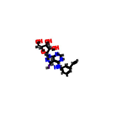 C#Cc1cccc(Nc2ncnc3c2c(I)nn3[C@@H]2O[C@H](CO)[C@@H](O)[C@H]2O)c1